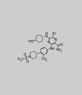 CCc1nc(C(N)=O)c(Nc2ccc(C3CCN(S(C)(=O)=O)CC3)c(C)c2)nc1N[C@H]1CC[C@H](O)CC1